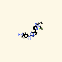 Cc1nc2ccc(-c3ccn4nc(NC5CCC6(CC5)CNC6)ncc34)nc2n1CC(F)F